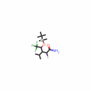 CC(C)C(C(I)C(N)=O)C(O[Si](C)(C)C(C)(C)C)C(F)(F)F